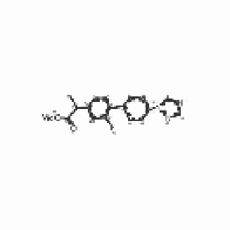 COC(=O)C(C)c1ccc(-c2ccc(-n3cncn3)cc2)c(F)c1